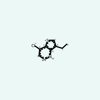 CCc1csc2c(Cl)cnnc12